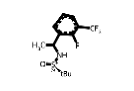 CC(N[S@+]([O-])C(C)(C)C)c1cccc(C(F)(F)F)c1F